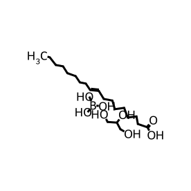 CCCCCCCCC=CCCCCCCCC(=O)O.OB(O)O.OCC(O)CO